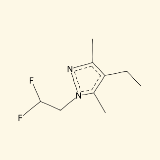 CCc1c(C)nn(CC(F)F)c1C